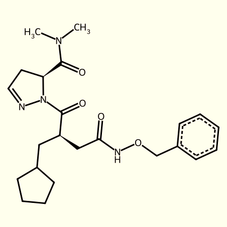 CN(C)C(=O)[C@@H]1CC=NN1C(=O)[C@@H](CC(=O)NOCc1ccccc1)CC1CCCC1